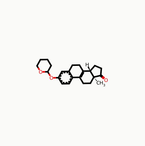 C[C@]12CCC3=C(CCc4cc(OC5CCCCO5)ccc43)[C@@H]1CCC2=O